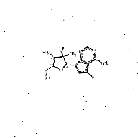 C[C@@H]1[C@@H](CO)O[C@@H](c2cc(F)c3c(N)ncnn23)C1(C)C